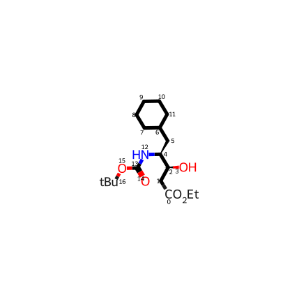 CCOC(=O)C[C@H](O)[C@H](CC1CCCCC1)NC(=O)OC(C)(C)C